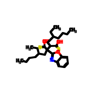 CCCCC(CC)CC(C(O)=S)C(CC(CC)CCCC)(C(O)=S)c1nc2ccccc2o1